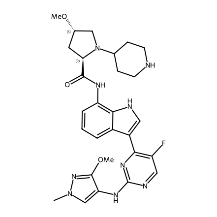 COc1nn(C)cc1Nc1ncc(F)c(-c2c[nH]c3c(NC(=O)[C@H]4C[C@H](OC)CN4C4CCNCC4)cccc23)n1